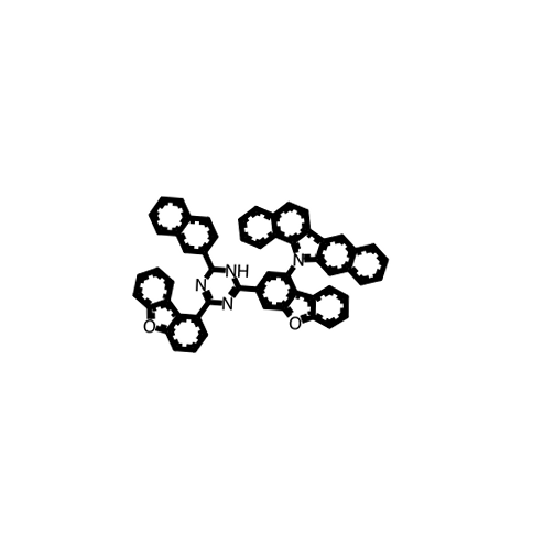 c1ccc2cc(C3N=C(c4cccc5oc6ccccc6c45)N=C(c4cc(-n5c6cc7ccccc7cc6c6ccc7ccccc7c65)c5c(c4)oc4ccccc45)N3)ccc2c1